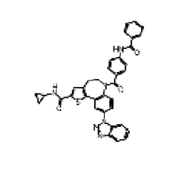 O=C(Nc1ccc(C(=O)N2CCc3cc(C(=O)NC4CC4)sc3-c3cc(-n4nnc5ccccc54)ccc32)cc1)c1ccccc1